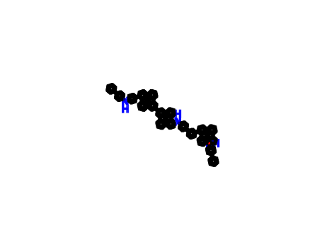 c1ccc(-c2ccc(Nc3ccc(-c4cccc5c4-c4ccccc4C54c5ccccc5-c5cc(-c6ccc7c(c6)-c6ccccc6C76c7ccccc7-c7c(Nc8ccc(-c9cccc(-c%10cccc%11c%10-c%10cccc(Nc%12ccc(-c%13ccccc%13)cc%12)c%10C%11%10c%11ccccc%11-c%11ccccc%11%10)c9)cc8)cccc76)ccc54)cc3)cc2)cc1